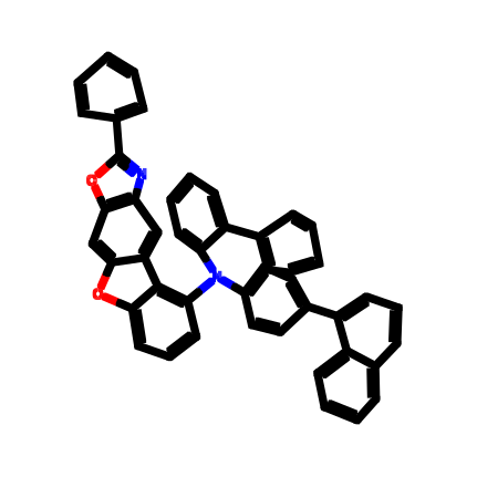 c1ccc(-c2nc3cc4c(cc3o2)oc2cccc(N(c3ccc(-c5cccc6ccccc56)cc3)c3ccccc3-c3ccccc3)c24)cc1